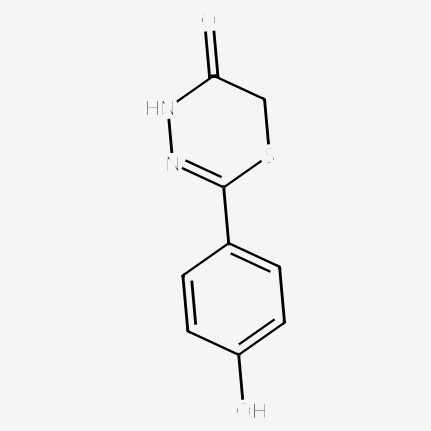 O=C1CSC(c2ccc(O)cc2)=NN1